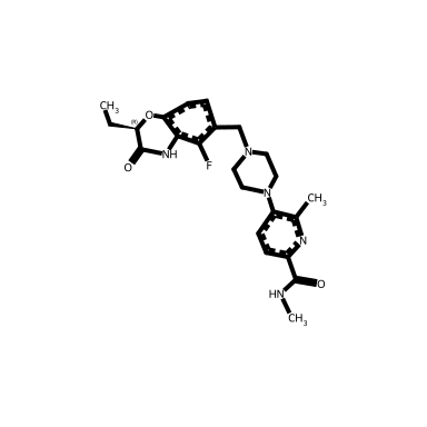 CC[C@H]1Oc2ccc(CN3CCN(c4ccc(C(=O)NC)nc4C)CC3)c(F)c2NC1=O